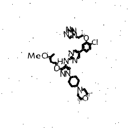 COC(C)CCOc1nn([C@H]2CC[C@H](N3C[C@@H](C)O[C@@H](C)C3)CC2)cc1Nc1ncc(-c2ccc(Cl)c(O[C@@H](C)Cn3cnnn3)c2)cn1